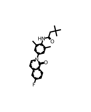 Cc1cc(-n2ccc3cc(F)ccc3c2=O)cc(C)c1NC(=O)CC(C)(C)C